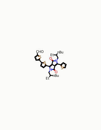 CCCCC(CC)CN1C(=O)C2=C(c3ccc(-c4ccc(C=O)s4)s3)N(CC(CC)CCCC)C(=O)C2=C1c1cccs1